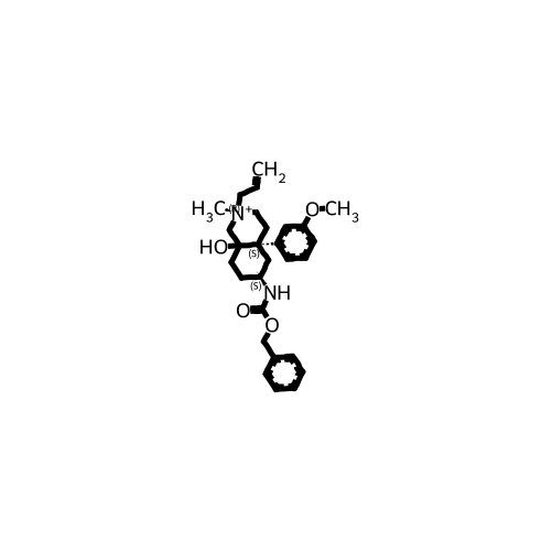 C=CC[N@@+]1(C)CC[C@@]2(c3cccc(OC)c3)C[C@@H](NC(=O)OCc3ccccc3)CCC2(O)C1